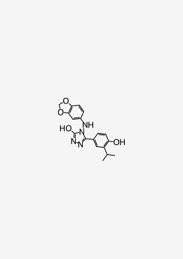 CC(C)c1cc(-c2nnc(O)n2Nc2ccc3c(c2)OCO3)ccc1O